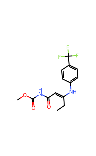 CCC(=CC(=O)NC(=O)OC)Nc1ccc(C(F)(F)F)cc1